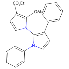 CCOC(=O)c1ccn(-c2c(-c3ccccc3)ccn2-c2ccccc2)c1OC